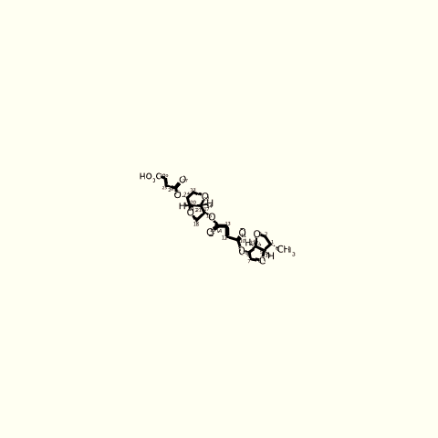 C[C@H]1CO[C@H]2[C@@H]1OC[C@H]2OC(=O)C=CC(=O)O[C@H]1CO[C@H]2[C@@H]1OC[C@H]2OC(=O)C=CC(=O)O